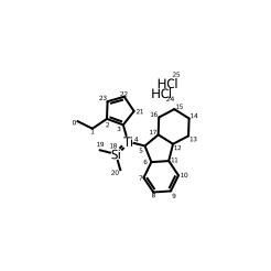 CCC1=[C]([Ti]([CH]2C3C=CC=CC3C3CCCCC32)=[Si](C)C)CC=C1.Cl.Cl